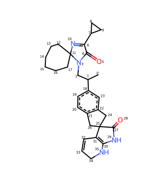 CC(CN1C(=O)C(C2CC2)=NC12CCCCCC2)c1ccc2c(c1)CC1(C2)C(=O)NC2=C1C=CCN2